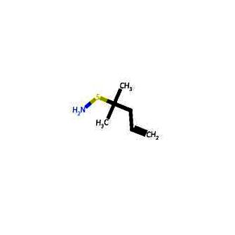 C=CCC(C)(C)SN